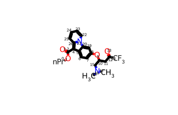 CCCOC(=O)c1c2ccc(OC(CC(=O)C(F)(F)F)CN(C)C)cc2n2ccccc12